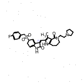 Cc1c(/C=C2\C(=O)NC3=CCC(S(=O)(=O)Cc4ccc(F)cc4)C=C32)[nH]c2c1C(=O)N(CCN1CCCC1)CCC2